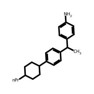 CCCC1CCC(c2ccc(C(C)c3ccc(N)cc3)cc2)CC1